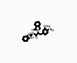 CCOc1ccc(CC(C(=O)Nc2nc3ccccc3[nH]2)N2Cc3ccccc3C2=O)cc1OC